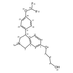 CN1Cc2cc(OCCCO)ccc2C(c2ccc(OC(F)F)cc2)C1